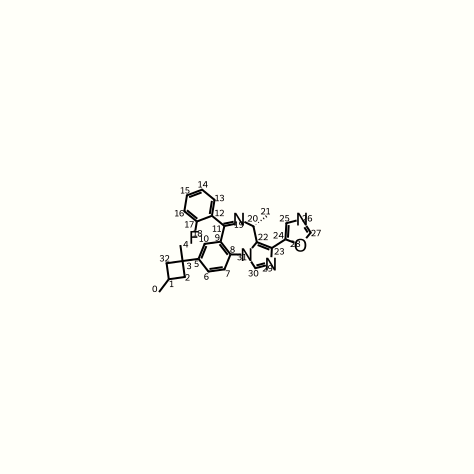 CC1CC(C)(c2ccc3c(c2)C(c2ccccc2F)=N[C@H](C)c2c(-c4cnco4)ncn2-3)C1